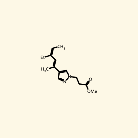 C/C=C(\C=C(/C)c1cnn(CCC(=O)OC)c1)CC